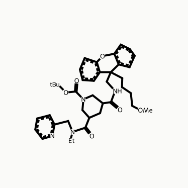 CCN(Cc1ccccn1)C(=O)C1CC(C(=O)NCC2(CCCCOC)c3ccccc3Oc3ccccc32)CN(C(=O)OC(C)(C)C)C1